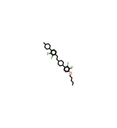 CCCCCOc1ccc(C2CCC(CCc3ccc(C4CCC(C)CC4)c(F)c3F)CC2)c(F)c1F